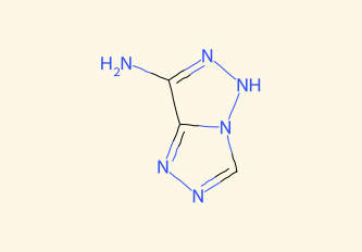 Nc1n[nH]n2cnnc12